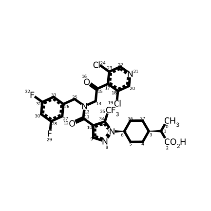 CC(C(=O)O)[C@H]1CC[C@@H](n2ncc(C(=O)N(CC(=O)c3c(Cl)cncc3Cl)Cc3cc(F)cc(F)c3)c2C(F)(F)F)CC1